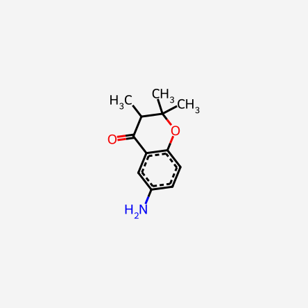 CC1C(=O)c2cc(N)ccc2OC1(C)C